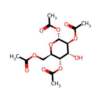 CC(=O)OC[C@H]1O[C@H](OC(C)=O)[C@@H](OC(C)=O)[C@H](O)[C@@H]1OC(C)=O